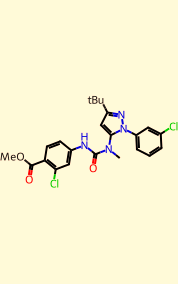 COC(=O)c1ccc(NC(=O)N(C)c2cc(C(C)(C)C)nn2-c2cccc(Cl)c2)cc1Cl